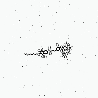 CCCCCCCCOc1c(O)c2ccc(NC(=O)C=Cc3cc(OC)c(O[C@@H]4O[C@H](COC(C)=O)[C@@H](OC(C)=O)[C@H](OC(C)=O)[C@H]4OC(C)=O)c(OC)c3)cc2n(C)c1=O